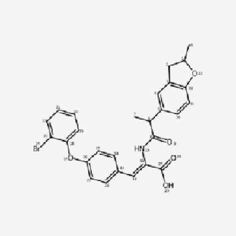 CC1Cc2cc(C(C)C(=O)N/C(=C\c3ccc(Oc4ccccc4Br)cc3)C(=O)O)ccc2O1